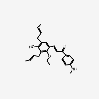 CC=CCc1cc(C=CC(=O)c2ccc(NC)cc2)c(OCC)c(CC=CC)c1O